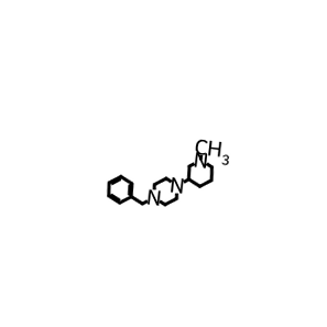 CN1CCCC(N2CCN(Cc3ccccc3)CC2)C1